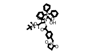 C[C@@H](O[Si](C)(C)C(C)(C)C)[C@H]1C(=O)N(C(C(=O)O)=P(c2ccccc2)(c2ccccc2)c2ccccc2)[C@@H]1CC(=O)c1ccc(CN2C(=O)CCC2=O)cc1